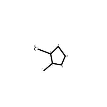 CC1CCCC1Cl